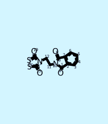 O=C1c2ccccc2C(=O)N1CCn1c(=O)ssc1=O